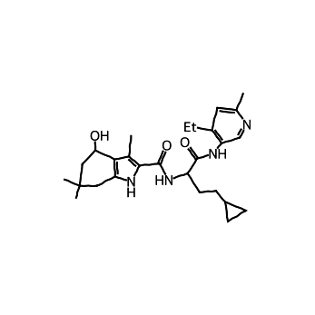 CCc1cc(C)ncc1NC(=O)C(CCC1CC1)NC(=O)c1[nH]c2c(c1C)C(O)CC(C)(C)C2